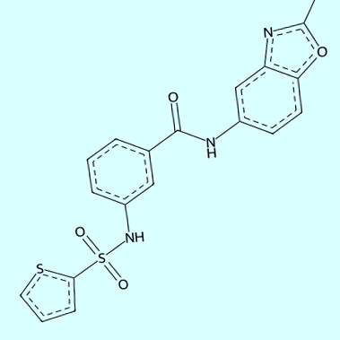 Cc1nc2cc(NC(=O)c3cccc(NS(=O)(=O)c4cccs4)c3)ccc2o1